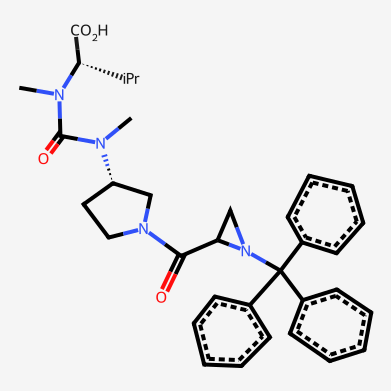 CC(C)[C@@H](C(=O)O)N(C)C(=O)N(C)[C@H]1CCN(C(=O)C2CN2C(c2ccccc2)(c2ccccc2)c2ccccc2)C1